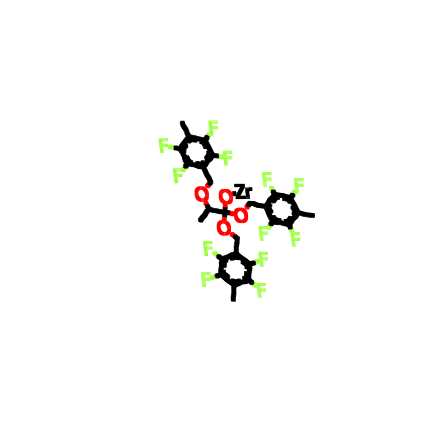 Cc1c(F)c(F)c(COC(C)C([O][Zr])(OCc2c(F)c(F)c(C)c(F)c2F)OCc2c(F)c(F)c(C)c(F)c2F)c(F)c1F